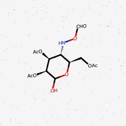 CC(=O)OC[C@H]1OC(O)[C@@H](OC(C)=O)[C@@H](OC(C)=O)[C@@H]1NOC=O